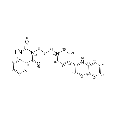 O=c1[nH]c2ccccc2c(=O)n1CCCN1CC=C(c2ccc3ccccc3n2)CC1